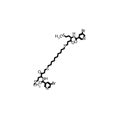 CSCCC(NC(=O)c1cncc(Br)c1)C(=O)CCSCCCCCCCCCCSCCC(=O)C(CCSC)NC(=O)c1cncc(Br)c1